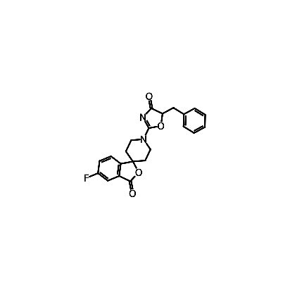 O=C1OC2(CCN(C3=NC(=O)C(Cc4ccccc4)O3)CC2)c2ccc(F)cc21